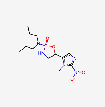 CCCN(CCC)P1(=O)NCC(c2cnc([N+](=O)[O-])n2C)O1